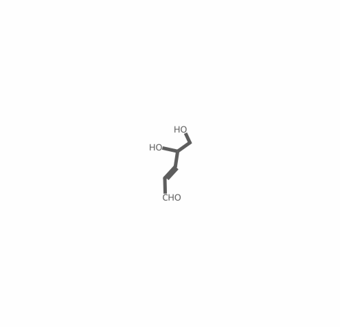 O=C/C=C/C(O)CO